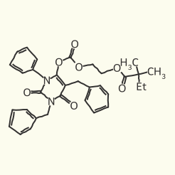 CCC(C)(C)C(=O)OCCOC(=O)Oc1c(Cc2ccccc2)c(=O)n(Cc2ccccc2)c(=O)n1-c1ccccc1